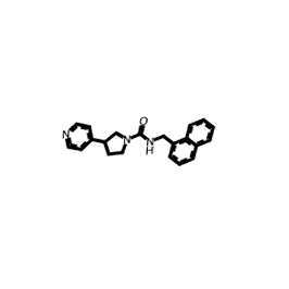 O=C(NCc1cccc2ccccc12)N1CCC(c2ccncc2)C1